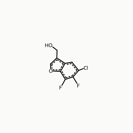 OCc1coc2c(F)c(F)c(Cl)cc12